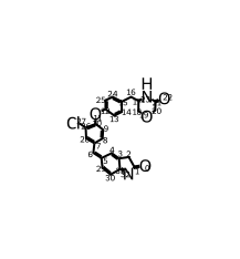 O=C1Cc2cc(=Cc3ccc(Oc4ccc(CC5COCC(=O)N5)cc4)c(Cl)c3)ccc2=N1